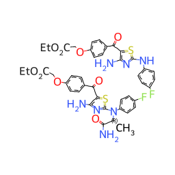 CCOC(=O)COc1ccc(C(=O)c2sc(N(c3ccc(F)cc3)[C@H](C)C(N)=O)nc2N)cc1.CCOC(=O)COc1ccc(C(=O)c2sc(Nc3ccc(F)cc3)nc2N)cc1